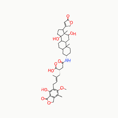 COc1c(C)c2c(c(O)c1C/C=C(\C)C[C@@H](CC(=O)N[C@H]1CCC3(C)C(CCC4C3CC(O)C3(C)C(C5=CC(=O)OC5)CCC43O)C1)C(=O)O)C(=O)OC2